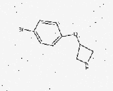 Brc1ccc(OC2CNC2)cc1